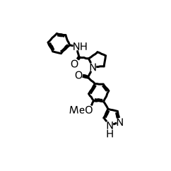 COc1cc(C(=O)N2CCCC2C(=O)Nc2ccccc2)ccc1-c1cn[nH]c1